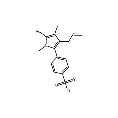 C=CCc1c(C)c(C(C)=O)n(C)c1-c1ccc(S(=O)(=O)CC)cc1